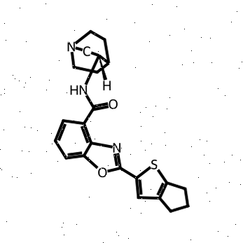 O=C(N[C@@H]1CN2CCC1CC2)c1cccc2oc(-c3cc4c(s3)CCC4)nc12